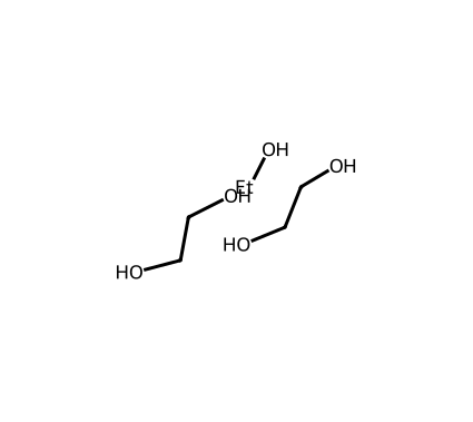 CCO.OCCO.OCCO